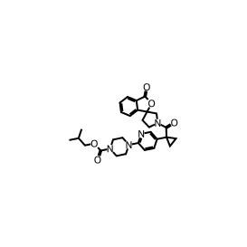 CC(C)COC(=O)N1CCN(c2ccc(C3(C(=O)N4CCC5(C4)OC(=O)c4ccccc45)CC3)cn2)CC1